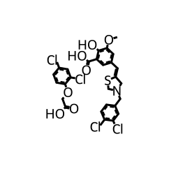 COc1cc(C=C2CN(Cc3ccc(Cl)c(Cl)c3)CS2)cc(C(=O)O)c1O.O=C(O)COc1ccc(Cl)cc1Cl